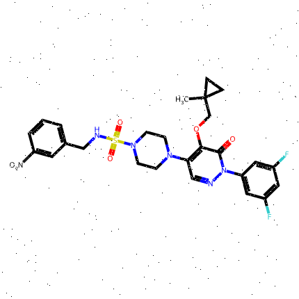 CC1(COc2c(N3CCN(S(=O)(=O)NCc4cccc([N+](=O)[O-])c4)CC3)cnn(-c3cc(F)cc(F)c3)c2=O)CC1